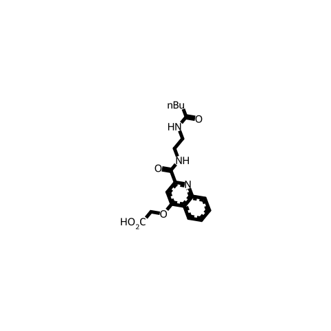 CCCCC(=O)NCCNC(=O)c1cc(OCC(=O)O)c2ccccc2n1